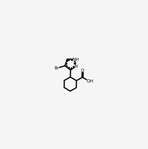 O=C(O)C1CCCCC1c1n[nH]cc1Br